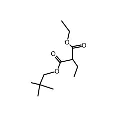 CCOC(=O)C(CC)C(=O)OCC(C)(C)C